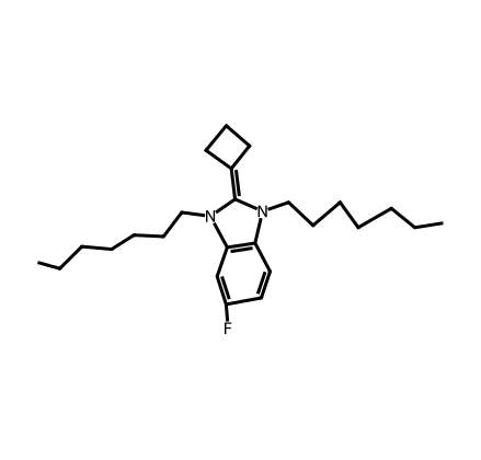 CCCCCCCN1C(=C2CCC2)N(CCCCCCC)c2cc(F)ccc21